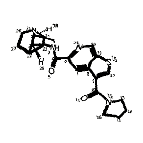 C[C@H]1[C@H](NC(=O)c2cc3c(C(=O)N4CCCC4)csc3cn2)C2CCN1CC2